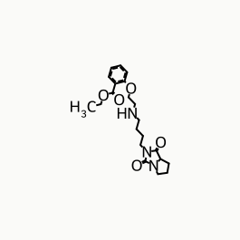 CCOC(=O)c1ccccc1OCCNCCCCN1C(=O)C2CCCN2C1=O